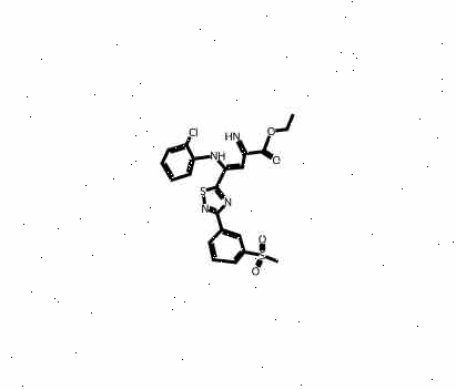 CCOC(=O)C(=N)/C=C(\Nc1ccccc1Cl)c1nc(-c2cccc(S(C)(=O)=O)c2)ns1